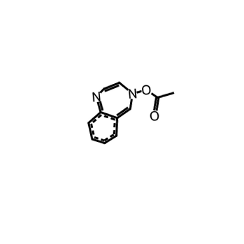 CC(=O)ON1C=CN=c2ccccc2=C1